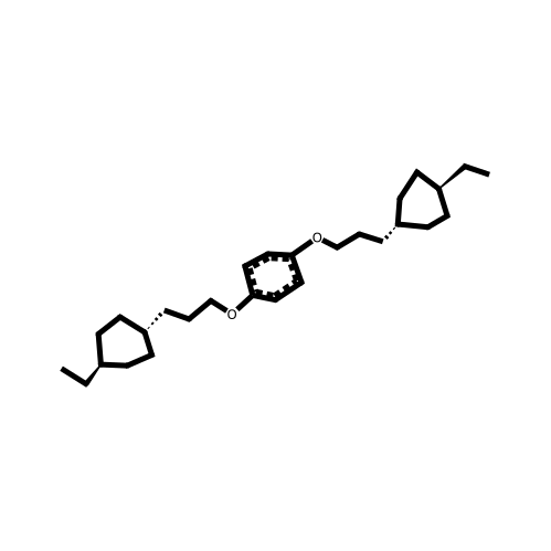 CC[C@H]1CC[C@H](CCCOc2ccc(OCCC[C@H]3CC[C@H](CC)CC3)cc2)CC1